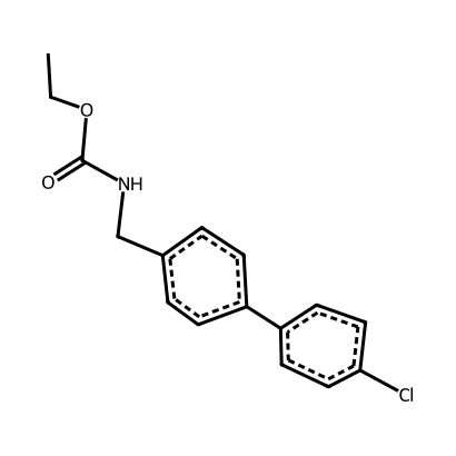 CCOC(=O)NCc1ccc(-c2ccc(Cl)cc2)cc1